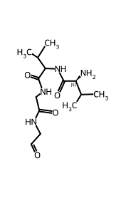 CC(C)C(NC(=O)[C@@H](N)C(C)C)C(=O)NCC(=O)NCC=O